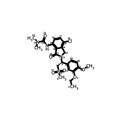 CCOc1cc([C@@H](CS(C)(=O)=O)N2Cc3c(Cl)ccc(NC(=O)N(C)C)c3C2=O)ccc1OC